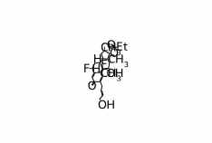 CCC(=O)O[C@H]1[C@H](C)C[C@H]2[C@@H]3C[C@H](F)C4=CC(=O)C(C/C=C/CO)=C[C@]4(C)[C@@]3(F)[C@@H](O)C[C@@]21C